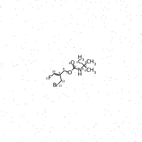 CC(C)(C)NC(=O)OCC(=CF)CBr